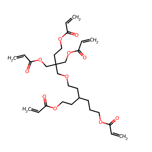 C=CC(=O)OCCCC(CCOCC(CCOC(=O)C=C)(COC(=O)C=C)COC(=O)C=C)CCOC(=O)C=C